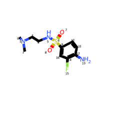 CN(C)CCNS(=O)(=O)c1ccc(N)c(F)c1